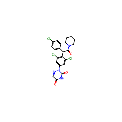 O=C(C(c1ccc(Cl)cc1)c1c(Cl)cc(-n2ncc(=O)[nH]c2=O)cc1Cl)N1CCCCC1